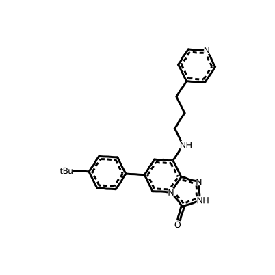 CC(C)(C)c1ccc(-c2cc(NCCCc3ccncc3)c3n[nH]c(=O)n3c2)cc1